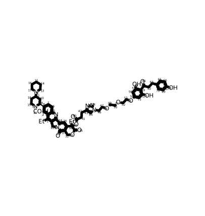 CCc1c2c(nc3ccc([C@@H]4CC(N5CCCCC5)CCN4C(=O)O)cc13)-c1cc3c(c(=O)n1C2)COC(=O)C3(CC)OC(=O)CCc1cn(CCOCCOCCOc2cc(O)c(C(=O)CCc3ccc(O)cc3)c(O)c2)nn1